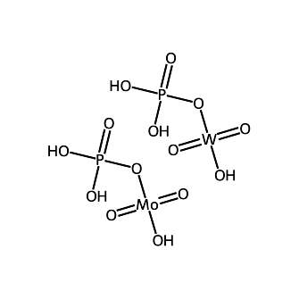 O=P(O)(O)[O][Mo](=[O])(=[O])[OH].O=P(O)(O)[O][W](=[O])(=[O])[OH]